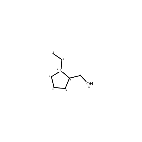 CCN1CCCC1CO